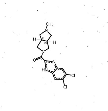 CN1C[C@@H]2CN(C(=O)c3nc4cc(Cl)c(Cl)cc4[nH]3)C[C@@H]2C1